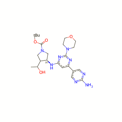 CC(O)C1CN(C(=O)OC(C)(C)C)C[C@H]1Nc1cc(-c2cnc(N)nc2)nc(N2CCOCC2)n1